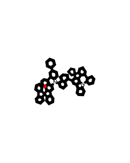 c1ccc(-c2ccc(N(c3ccc4c(c3)-c3ccccc3C43c4ccccc4-c4ccccc43)c3cccc4c(-c5cc6c7ccccc7n7c6c6c5C5(CCCC5)c5cccc(c5-6)-c5ccccc5-7)cccc34)c(-c3ccccc3)c2)cc1